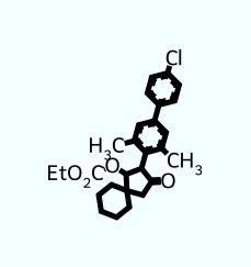 CCOC(=O)OC1C(c2c(C)cc(-c3ccc(Cl)cc3)cc2C)C(=O)CC12CCCCC2